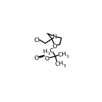 CC(C)(C)OC=O.ClCC12CN1CCO2